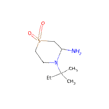 CCC(C)(C)N1CCS(=O)(=O)CC1N